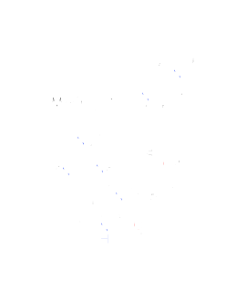 COc1cc(N2CCN(C)CC2)ccc1Nc1ncc2c(n1)N(C1CCOCC1)C(=O)NC2